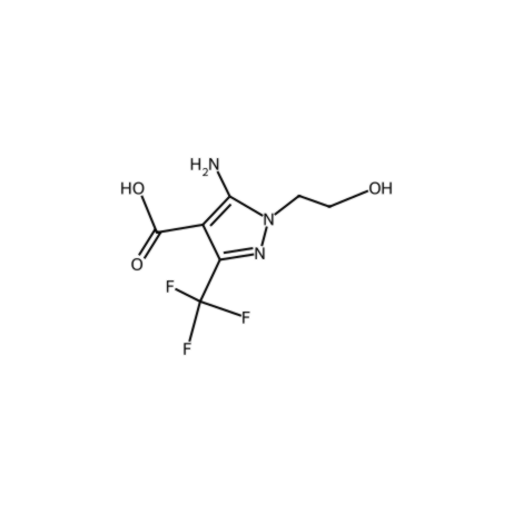 Nc1c(C(=O)O)c(C(F)(F)F)nn1CCO